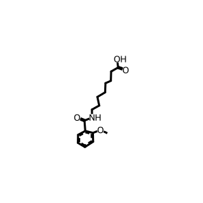 COc1ccccc1C(=O)NCCCCCCCC(=O)O